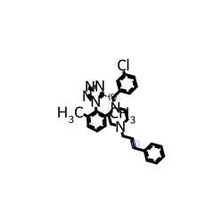 Cc1cccc(C)c1-n1nnnc1[C@H](c1cccc(Cl)c1)N1CCN(C/C=C/c2ccccc2)CC1